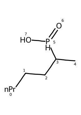 CCCCCC(C)[PH](=O)O